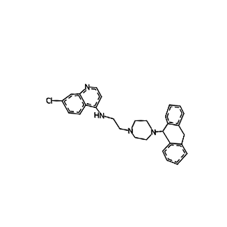 Clc1ccc2c(NCCN3CCN(C4c5ccccc5Cc5ccccc54)CC3)ccnc2c1